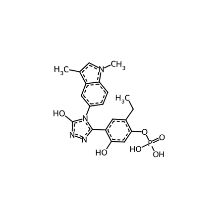 CCc1cc(-c2nnc(O)n2-c2ccc3c(c2)c(C)cn3C)c(O)cc1OP(=O)(O)O